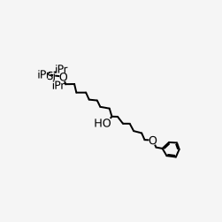 CC(C)[Si](OCCCCCCCCC(O)CCCCCCOCc1ccccc1)(C(C)C)C(C)C